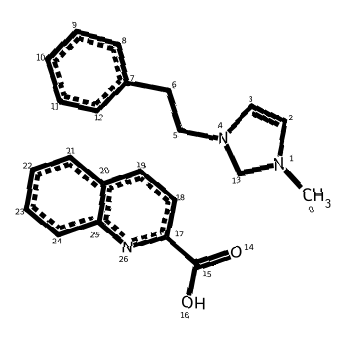 CN1C=CN(CCc2ccccc2)C1.O=C(O)c1ccc2ccccc2n1